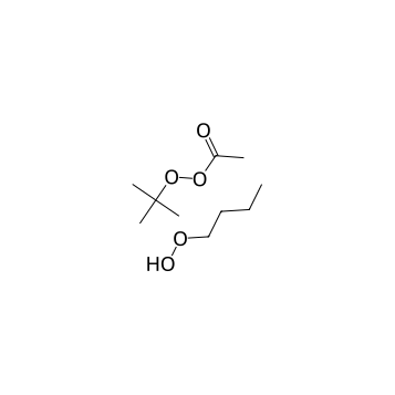 CC(=O)OOC(C)(C)C.CCCCOO